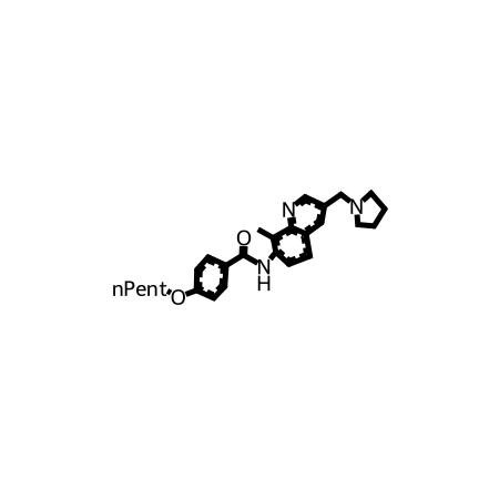 CCCCCOc1ccc(C(=O)Nc2ccc3cc(CN4CCCC4)cnc3c2C)cc1